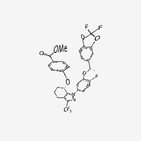 COC(=O)c1ccc(O[C@H]2CCCc3c(C(F)(F)F)nn(-c4ccc(F)c(O[C@@H](C)c5ccc6c(c5)OC(F)(F)O6)c4)c32)cc1